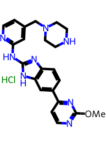 COc1nccc(-c2ccc3nc(Nc4cc(CN5CCNCC5)ccn4)[nH]c3c2)n1.Cl